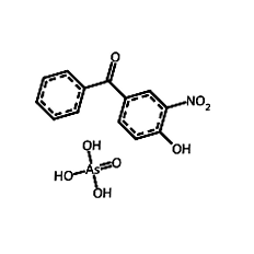 O=C(c1ccccc1)c1ccc(O)c([N+](=O)[O-])c1.O=[As](O)(O)O